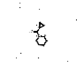 O=C(C1CC1)[N+]1CCCCC1